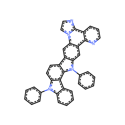 c1ccc(-n2c3ccccc3c3c2ccc2c4cc5c(cc4n(-c4ccccc4)c23)c2ncccc2c2nccn52)cc1